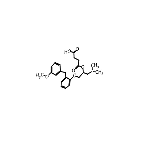 COc1cccc(Cc2ccccc2OCC(CN(C)C)OC(=O)CCC(=O)O)c1